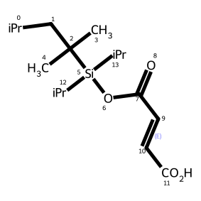 CC(C)CC(C)(C)[Si](OC(=O)/C=C/C(=O)O)(C(C)C)C(C)C